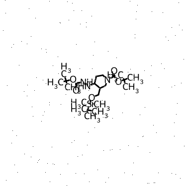 CC(C)(C)OC(=O)NNC1CCN(C(=O)OC(C)(C)C)CC1CO[Si](C)(C)C(C)(C)C